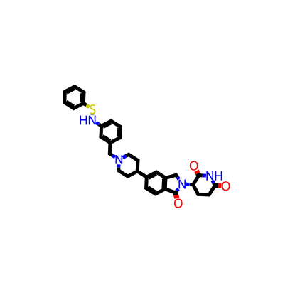 O=C1CCC(N2Cc3cc(C4CCN(Cc5cccc(NSc6ccccc6)c5)CC4)ccc3C2=O)C(=O)N1